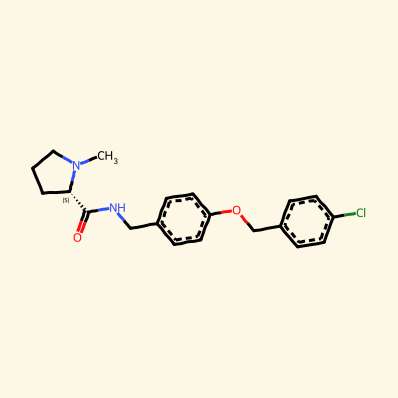 CN1CCC[C@H]1C(=O)NCc1ccc(OCc2ccc(Cl)cc2)cc1